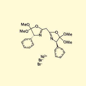 COC1(OC)OC(CC2=N[C@H](c3ccccc3)C(OC)(OC)O2)=N[C@@H]1c1ccccc1.[Br-].[Br-].[Ni+2]